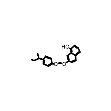 CCC(C)c1ccc(OCOc2ccc3cccc(O)c3c2)cc1